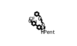 C=CN(CCCOCc1ccccc1)c1cc(-c2ccc(OC(F)(F)F)cc2)ccc1OCCCCC